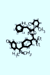 CCN(CC)C(c1nc(Cc2ccccc2)c(N2C(C)CCCC2C)o1)C1CCC(C(c2ccc(Cl)cc2)N(C)C)CC1